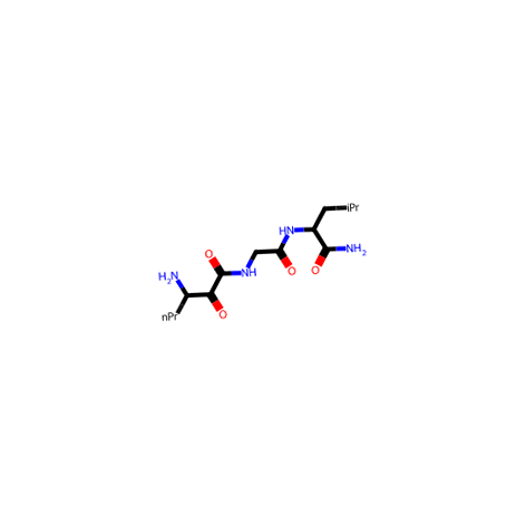 CCCC(N)C(=O)C(=O)NCC(=O)NC(CC(C)C)C(N)=O